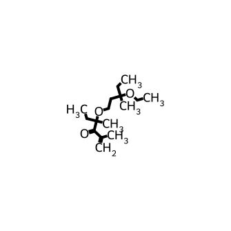 C=C(C)C(=O)C(C)(CC)OCCC(C)(CC)OCC